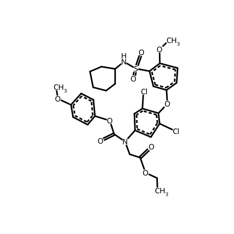 CCOC(=O)CN(C(=O)Oc1ccc(OC)cc1)c1cc(Cl)c(Oc2ccc(OC)c(S(=O)(=O)NC3CCCCC3)c2)c(Cl)c1